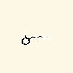 O=C(O)CNCc1ccccc1F